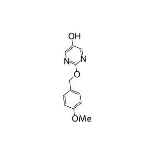 COc1ccc(COc2ncc(O)cn2)cc1